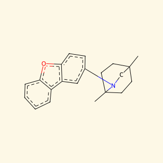 CC12CCC(C)(CC1)N(c1ccc3oc4ccccc4c3c1)C2